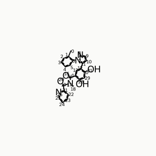 Cc1ccccc1-n1nccc1-c1cc(C(=O)N(C)C(=O)c2ccccn2)c(O)cc1O